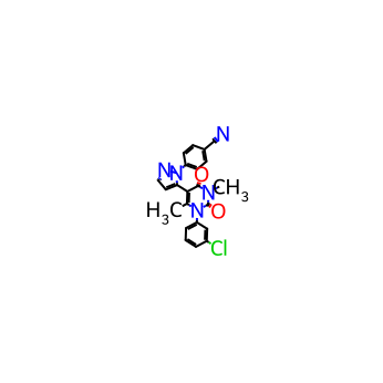 Cc1c(-c2ccnn2-c2ccc(C#N)cc2)c(=O)n(C)c(=O)n1-c1cccc(Cl)c1